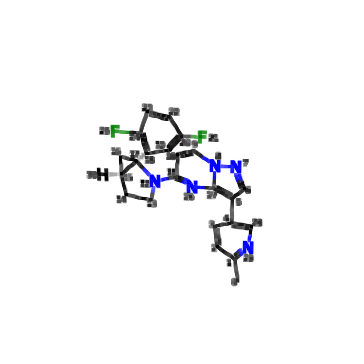 Cc1ccc(-c2cnn3ccc(N4CC[C@H]5C[C@]54c4cc(F)ccc4F)nc23)cn1